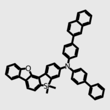 C[Si]1(C)c2cc(N(c3ccc(-c4ccccc4)cc3)c3ccc(-c4ccc5ccccc5c4)cc3)ccc2-c2c1ccc1c2oc2ccccc21